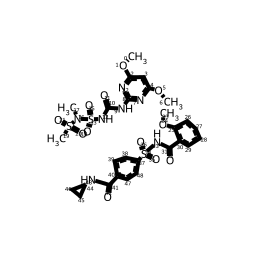 COc1cc(OC)nc(NC(=O)NS(=O)(=O)N(C)S(C)(=O)=O)n1.COc1ccccc1C(=O)NS(=O)(=O)c1ccc(C(=O)NC2CC2)cc1